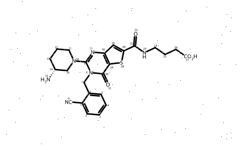 N#Cc1ccccc1Cn1c(N2CCC[C@@H](N)C2)nc2cc(C(=O)NCCCC(=O)O)sc2c1=O